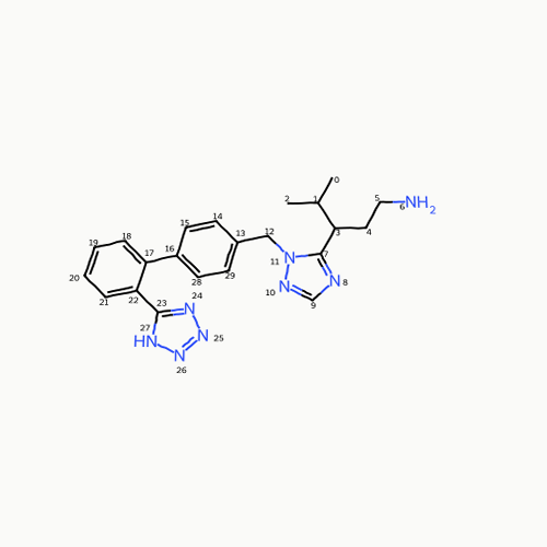 CC(C)C(CCN)c1ncnn1Cc1ccc(-c2ccccc2-c2nnn[nH]2)cc1